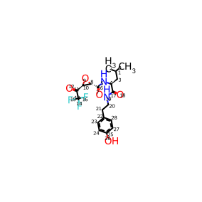 CC(C)C[C@H](NC(=O)[C@H]1O[C@@H]1C(=O)C(F)(F)F)C(=O)NCCc1ccc(O)cc1